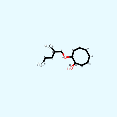 CCCC(C)COC1CCCCCCC1O